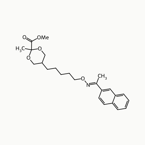 COC(=O)C1(C)OCC(CCCCCON=C(C)c2ccc3ccccc3c2)CO1